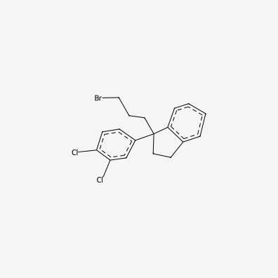 Clc1ccc(C2(CCCBr)CCc3ccccc32)cc1Cl